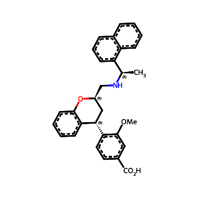 COc1cc(C(=O)O)ccc1[C@H]1C[C@H](CN[C@H](C)c2cccc3ccccc23)Oc2ccccc21